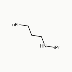 [CH2]C(C)NCCCCCC